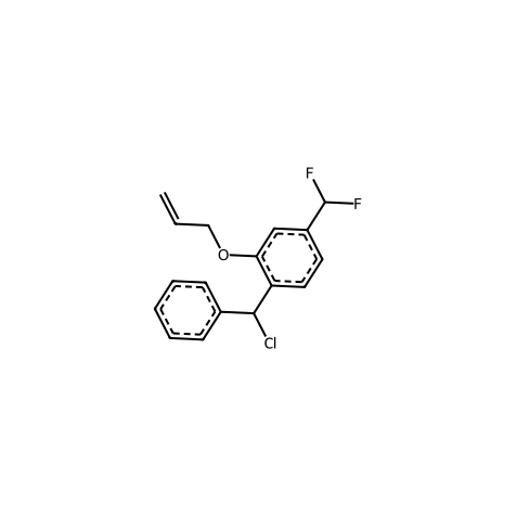 C=CCOc1cc(C(F)F)ccc1C(Cl)c1ccccc1